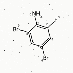 Nc1c(F)cc(Br)cc1Br